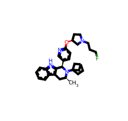 C[C@@H]1Cc2c([nH]c3ccccc23)[C@@H](c2ccc(O[C@H]3CCN(CCCF)C3)nc2)N1C12CCC(C1)C2